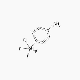 Nc1ccc([SH](F)(F)(F)F)cc1